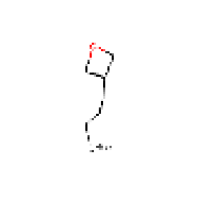 COCCC1COC1